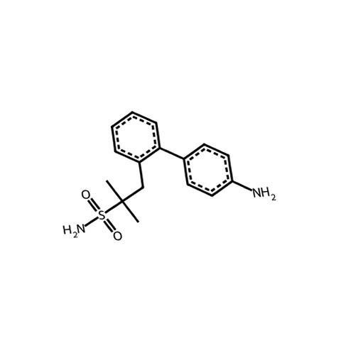 CC(C)(Cc1ccccc1-c1ccc(N)cc1)S(N)(=O)=O